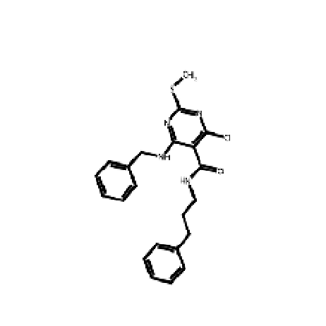 CSc1nc(Cl)c(C(=O)NCCCc2ccccc2)c(NCc2ccccc2)n1